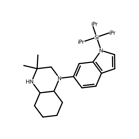 CC(C)[Si](C(C)C)(C(C)C)n1ccc2ccc(N3CC(C)(C)NC4CCCCC43)cc21